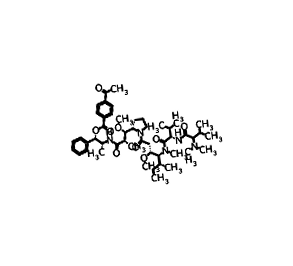 CC[C@H](C)[C@@H]([C@@H](CC(=O)N1CCC[C@H]1[C@H](OC)[C@@H](C)C(=O)N[C@H](C)[C@@H](OC(=O)c1ccc(C(C)=O)cc1)c1ccccc1)OC)N(C)C(=O)[C@@H](NC(=O)C(C(C)C)N(C)C)C(C)C